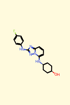 O[C@H]1CC[C@@H](Nc2cccc3nc(Nc4ccc(F)cc4)nn23)CC1